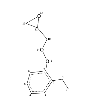 CCc1ccccc1OOCC1CO1